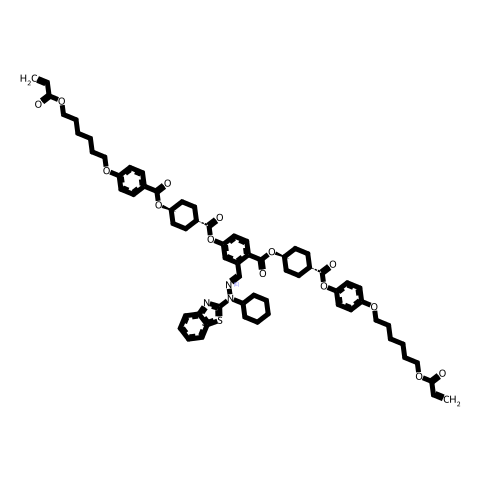 C=CC(=O)OCCCCCCOc1ccc(OC(=O)[C@H]2CC[C@H](OC(=O)c3ccc(OC(=O)[C@H]4CC[C@H](OC(=O)c5ccc(OCCCCCCOC(=O)C=C)cc5)CC4)cc3/C=N/N(c3nc4ccccc4s3)C3CCCCC3)CC2)cc1